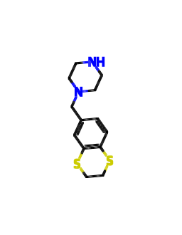 c1cc2c(cc1CN1CCNCC1)SCCS2